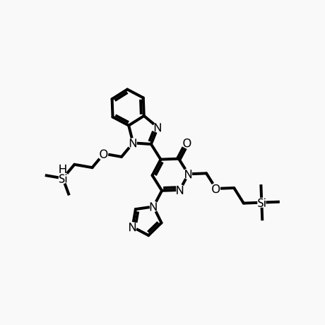 C[SiH](C)CCOCn1c(-c2cc(-n3ccnc3)nn(COCC[Si](C)(C)C)c2=O)nc2ccccc21